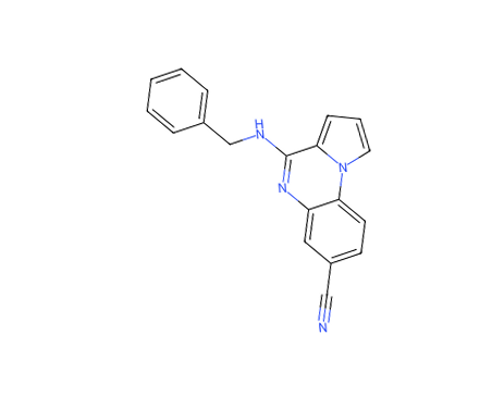 N#Cc1ccc2c(c1)nc(NCc1ccccc1)c1cccn12